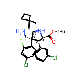 CC1(C[C@@H]2N[C@@H](C(=O)OC(C)(C)C)[C@H](c3cccc(Cl)c3)[C@@]2(CN)c2ccc(Cl)cc2F)CCC1